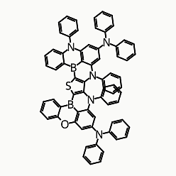 c1ccc(N(c2ccccc2)c2cc3c4c(c2)N(c2ccccc2)c2c(sc5c2N(c2ccccc2)c2cc(N(c6ccccc6)c6ccccc6)cc6c2B5c2ccccc2N6c2ccccc2)B4c2ccccc2O3)cc1